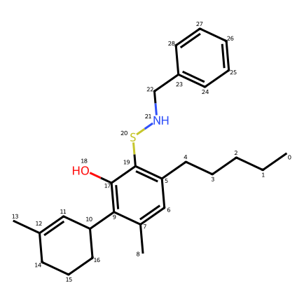 CCCCCc1cc(C)c(C2C=C(C)CCC2)c(O)c1SNCc1ccccc1